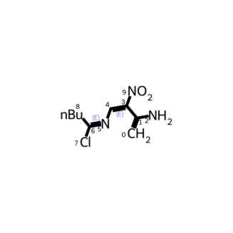 C=C(N)/C(=C\N=C(\Cl)CCCC)[N+](=O)[O-]